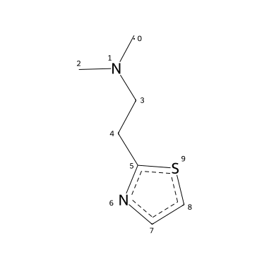 [CH2]N(C)CCc1nccs1